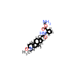 CCN1C(=O)C=C[C@]2(C)[C@H]3CC[C@]4(C)[C@@H](CC(=O)Nc5ccccc5C(=O)OCN)CC[C@H]4[C@@H]3CC[C@@H]12